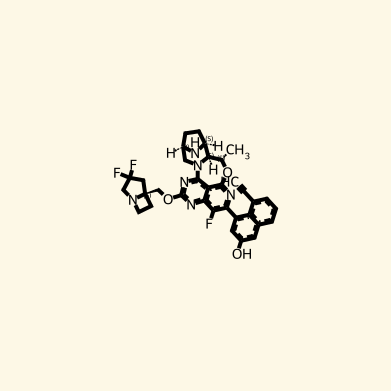 C#Cc1cccc2cc(O)cc(-c3nc4c5c(nc(OC[C@@]67CCN6CC(F)(F)C7)nc5c3F)N3C[C@H]5CC[C@H](N5)[C@H]3[C@H](C)O4)c12